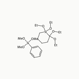 CCOC1(OCC)CCCC[Si]1(OCC)OCC.CO[Si](OC)(OC)c1ccccc1